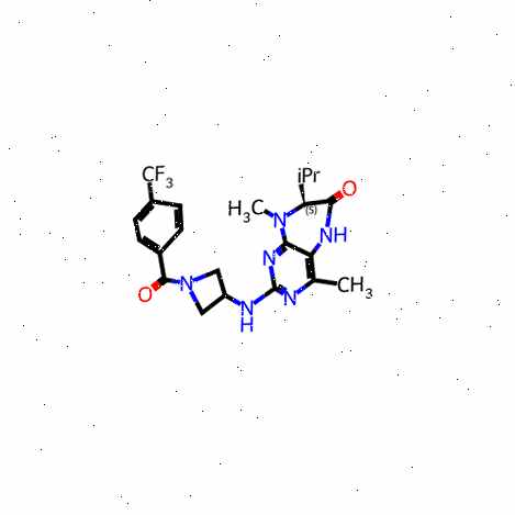 Cc1nc(NC2CN(C(=O)c3ccc(C(F)(F)F)cc3)C2)nc2c1NC(=O)[C@H](C(C)C)N2C